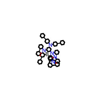 c1ccc(-c2ccc(N(c3ccc(-c4ccccc4)cc3)c3cc4c5c(c3)N(c3ccccc3-n3c6ccccc6c6ccccc63)c3cc6c(cc3B5c3cc(-c5ccccc5)ccc3N4c3ccccc3-c3ccccc3)c3cccc4c5ccccc5n6c43)cc2)cc1